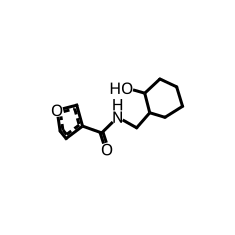 O=C(NCC1CCCCC1O)c1ccoc1